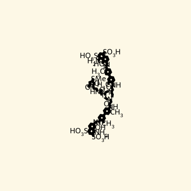 CSC1CC(=O)N(CCNC(=O)CN2CCN(CC(=O)Nc3ccc(-c4ccc(N=Nc5ccc6c(S(=O)(=O)O)cc(S(=O)(=O)O)c(N)c6c5O)c(C)c4)cc3C)CCN(CC(=O)Nc3ccc(-c4ccc(N=Nc5ccc6c(S(=O)(=O)O)cc(S(=O)(=O)O)c(N)c6c5O)c(C)c4)cc3C)CC2)C1=O